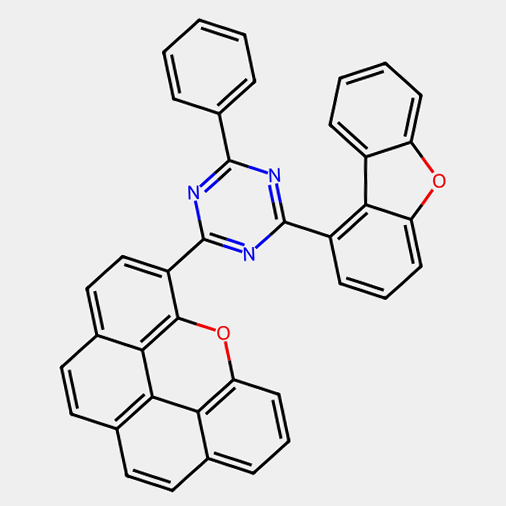 c1ccc(-c2nc(-c3ccc4ccc5ccc6cccc7c6c5c4c3O7)nc(-c3cccc4oc5ccccc5c34)n2)cc1